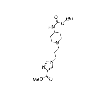 COC(=O)c1cn(CCCN2CCC(NC(=O)OC(C)(C)C)CC2)cn1